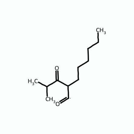 CCCCCCC([C]=O)C(=O)C(C)C